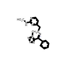 Cn1nnnc1/C(=N\OCc1ccnc(NC(=O)O)n1)c1ccccc1